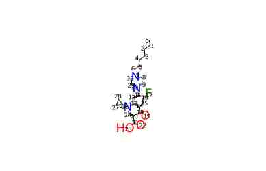 CCCCCCCN1CCN(c2cc3c(cc2F)c(=O)c(C(=O)O)cn3C2CC2)CC1